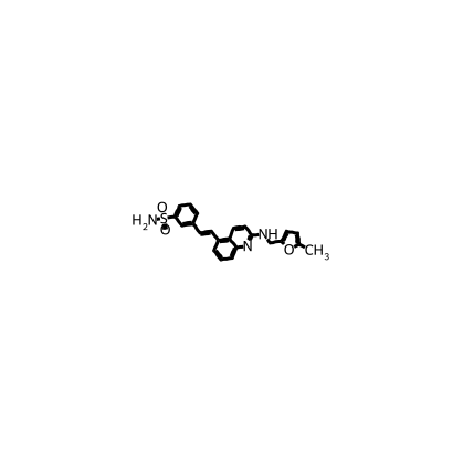 Cc1ccc(CNc2ccc3c(C=Cc4cccc(S(N)(=O)=O)c4)cccc3n2)o1